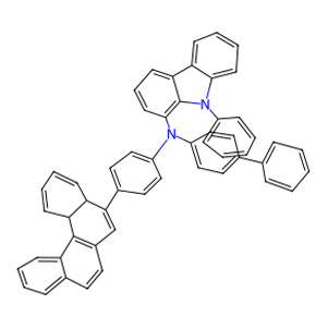 C1=CC2C(c3ccc(N(c4ccc(-c5ccccc5)cc4)c4cccc5c6ccccc6n(-c6ccccc6)c45)cc3)=Cc3ccc4ccccc4c3C2C=C1